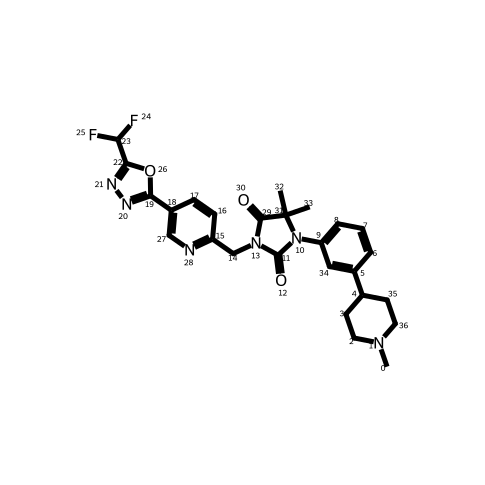 CN1CCC(c2cccc(N3C(=O)N(Cc4ccc(-c5nnc(C(F)F)o5)cn4)C(=O)C3(C)C)c2)CC1